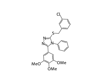 COc1cc(-c2nnc(SCc3cccc(Cl)c3)n2-c2ccccc2)cc(OC)c1OC